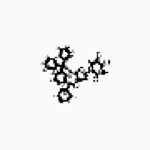 O=c1[nH]c(=O)n([C@@H]2CC(OCc3ccccc3)[C@H](COC(c3ccccc3)(c3ccccc3)c3ccccc3)O2)cc1F